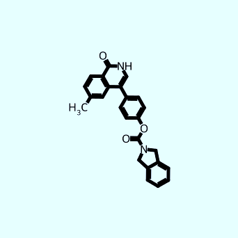 Cc1ccc2c(=O)[nH]cc(-c3ccc(OC(=O)N4Cc5ccccc5C4)cc3)c2c1